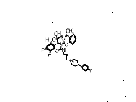 C[C@H](c1ccccc1)N1CC(C)(C)[C@H](c2ccc(F)c(F)c2)N(C(=O)NCCCN2CCC(c3ccc(F)cc3)CC2)C1=O